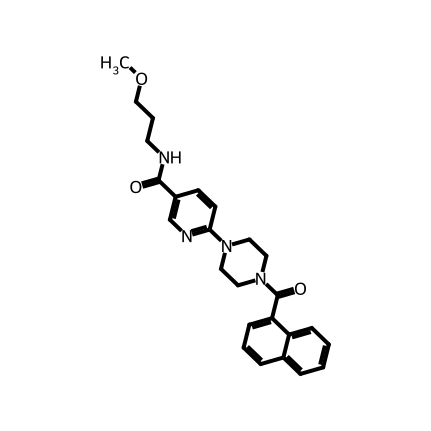 COCCCNC(=O)c1ccc(N2CCN(C(=O)c3cccc4ccccc34)CC2)nc1